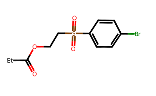 CCC(=O)OCCS(=O)(=O)c1ccc(Br)cc1